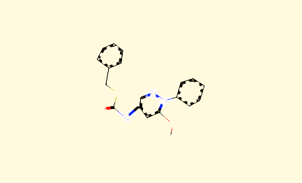 CCCCOc1cc(=NC(=O)SCc2ccccc2)cnn1-c1ccccc1